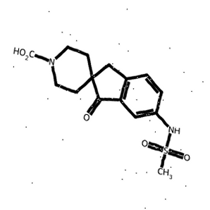 CS(=O)(=O)Nc1ccc2c(c1)C(=O)C1(CCN(C(=O)O)CC1)C2